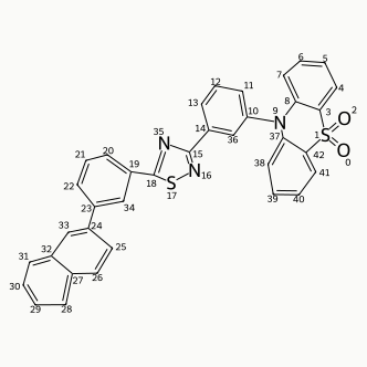 O=S1(=O)c2ccccc2N(c2cccc(-c3nsc(-c4cccc(-c5ccc6ccccc6c5)c4)n3)c2)c2ccccc21